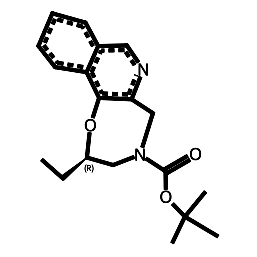 CC[C@@H]1CN(C(=O)OC(C)(C)C)Cc2ncc3ccccc3c2O1